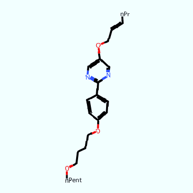 CCC/C=C/COc1cnc(-c2ccc(OCCCCOCCCCC)cc2)nc1